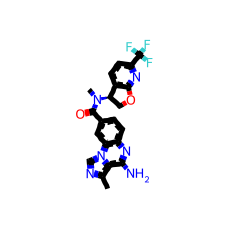 Cc1ncn2c1c(N)nc1ccc(C(=O)N(C)[C@@H]3COc4nc(C(F)(F)F)ccc43)cc12